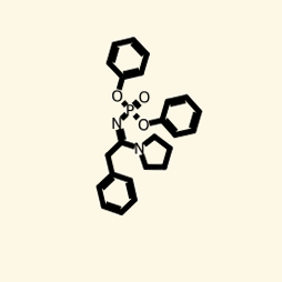 O=P(/N=C(/Cc1ccccc1)N1CCCC1)(Oc1ccccc1)Oc1ccccc1